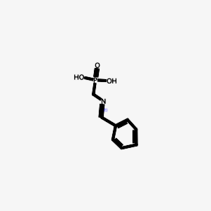 O=P(O)(O)C/N=C/c1ccccc1